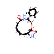 N[C@H]1CC=CCCC(=O)N[C@H](c2ccccc2)COC1=O